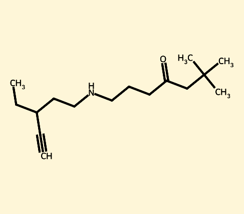 C#CC(CC)CCNCCCC(=O)CC(C)(C)C